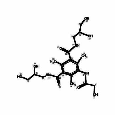 Cc1c(NC(=O)CO)c(C)c(C(=O)NCC(O)CO)c(C)c1C(=O)NCC(O)CO